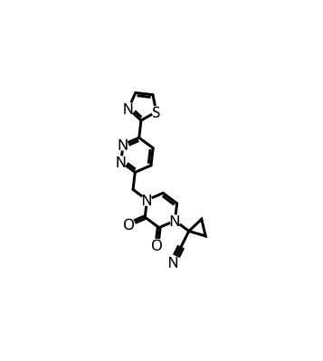 N#CC1(n2ccn(Cc3ccc(-c4nccs4)nn3)c(=O)c2=O)CC1